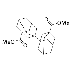 COC(=O)C12CC3CC(C1)CC(C14CC5CC(CC(C(=O)OC)(C5)C1)C4)(C3)C2